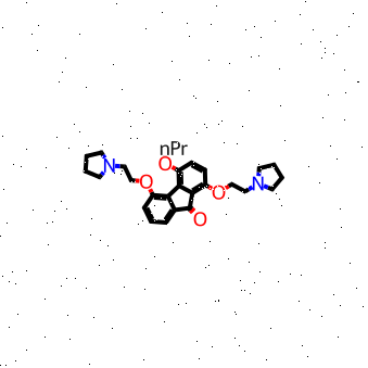 CCCOc1ccc(OCCN2CCCC2)c2c1-c1c(OCCN3CCCC3)cccc1C2=O